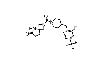 O=C1CCC2(CN(C(=O)N3CCC(Cc4ncc(C(F)(F)F)cc4F)CC3)C2)N1